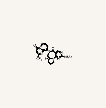 CNc1ncc2c(n1)N1CCC[C@H]1CN(c1cccn3c(=O)cc(C(F)(F)F)nc13)C2=O